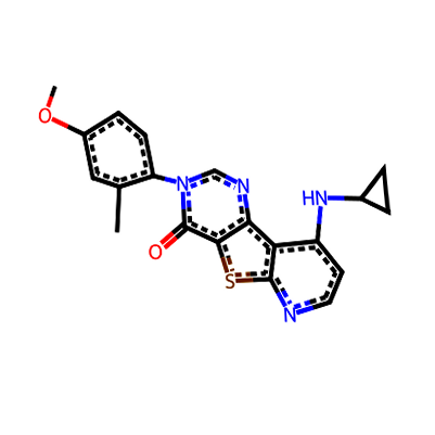 COc1ccc(-n2cnc3c(sc4nccc(NC5CC5)c43)c2=O)c(C)c1